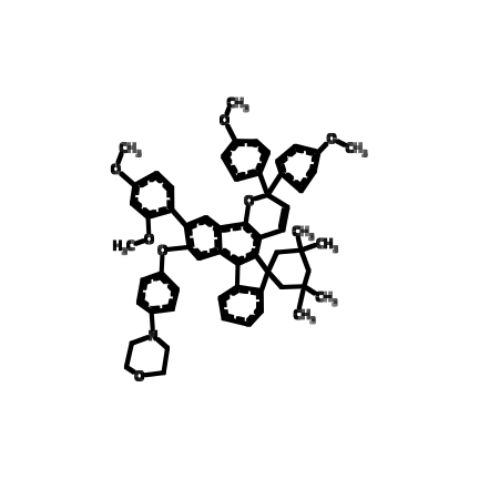 COc1ccc(C2(c3ccc(OC)cc3)C=Cc3c4c(c5cc(Oc6ccc(N7CCOCC7)cc6)c(-c6ccc(OC)cc6OC)cc5c3O2)-c2ccccc2C42CC(C)(C)CC(C)(C)C2)cc1